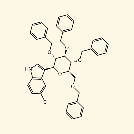 Clc1ccc2[nH]cc([C@@H]3O[C@H](COCc4ccccc4)[C@@H](OCc4ccccc4)[C@H](OCc4ccccc4)[C@H]3OCc3ccccc3)c2c1